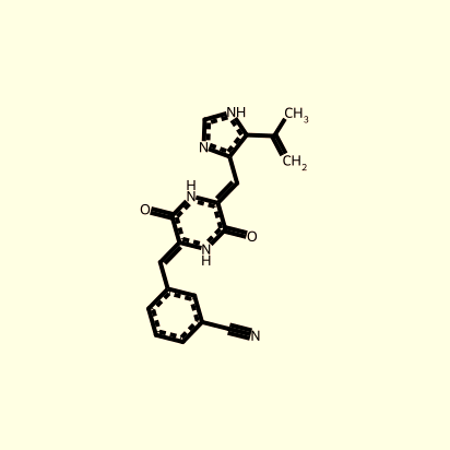 C=C(C)c1[nH]cnc1/C=c1\[nH]c(=O)/c(=C/c2cccc(C#N)c2)[nH]c1=O